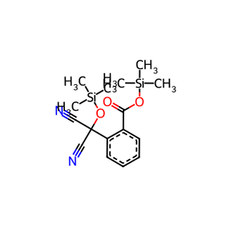 C[Si](C)(C)OC(=O)c1ccccc1C(C#N)(C#N)O[Si](C)(C)C